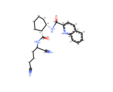 N#CCCCC(C#N)NC(=O)[C@@H]1CCCC[C@@H]1NC(=O)c1ccc2ccccc2n1